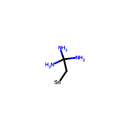 NC(N)(N)[CH2][Sn]